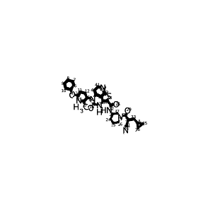 Cc1nc(Oc2ccccc2)ccc1N1C(=O)Nc2c(C(=O)NC3CCCN(C(=O)C(C#N)=CC4CC4)C3)sc3nccc1c23